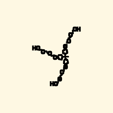 CC(c1ccc(OCCOCCOCCO)cc1)(c1ccc(OCCOCCOCCO)cc1)c1ccc(OCCOCCOCCO)cc1